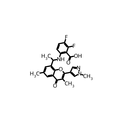 Cc1cc(C(C)Nc2ccc(F)c(F)c2C(=O)O)c2oc(-c3cnn(C)c3)c(C)c(=O)c2c1